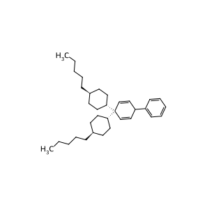 CCCCC[C@H]1CC[C@H](C2([C@H]3CC[C@H](CCCCC)CC3)C=CC(c3ccccc3)C=C2)CC1